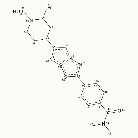 CC(C)C1CC(c2cn3nc(-c4ccc(C(=O)N(C)C)cc4)sc3n2)CCN1C(=O)O